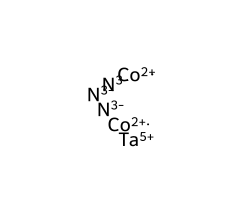 [Co+2].[Co+2].[N-3].[N-3].[N-3].[Ta+5]